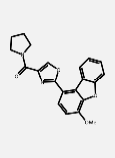 COc1ccc(-c2nc(C(=O)N3CCCC3)co2)c2c1oc1ccccc12